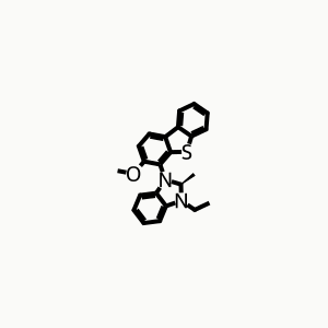 CCN1c2ccccc2N(c2c(OC)ccc3c2sc2ccccc23)[C@H]1C